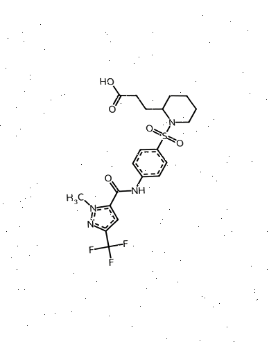 Cn1nc(C(F)(F)F)cc1C(=O)Nc1ccc(S(=O)(=O)N2CCCCC2CCC(=O)O)cc1